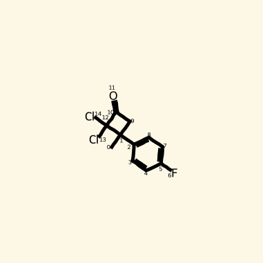 CC1(c2ccc(F)cc2)CC(=O)C1(Cl)Cl